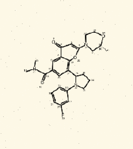 C[C@@H]1CN(c2cc(=O)c3cc(C(=O)N(C)C)cc(C4CCCN4c4cccc(F)c4)c3o2)CCO1